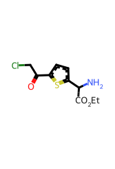 CCOC(=O)C(N)c1ccc(C(=O)CCl)s1